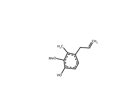 C=CCc1ccc(O)c(OC)c1C